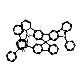 C1=CC2c3cc4c(cc3N(c3ccccc3)C2C=C1)C1(c2ccccc2-c2ccc(-c3nc(-c5ccccc5)nc(-c5ccccc5)n3)cc21)c1cc2c(cc1-4)c1ccccc1n2-c1ccccc1